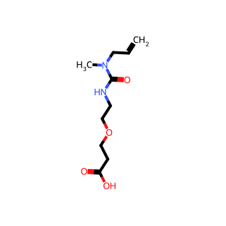 C=CCN(C)C(=O)NCCOCCC(=O)O